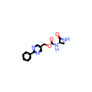 O=C(N[C@H]1CNC1=O)OCc1cnc(-c2ccccc2)nc1